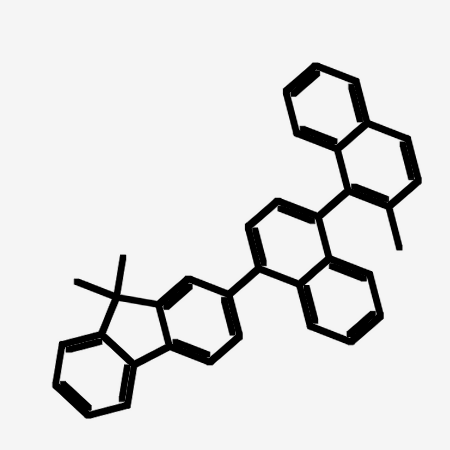 Cc1ccc2ccccc2c1-c1ccc(-c2ccc3c(c2)C(C)(C)c2ccccc2-3)c2ccccc12